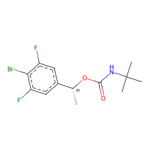 C[C@@H](OC(=O)NC(C)(C)C)c1cc(F)c(Br)c(F)c1